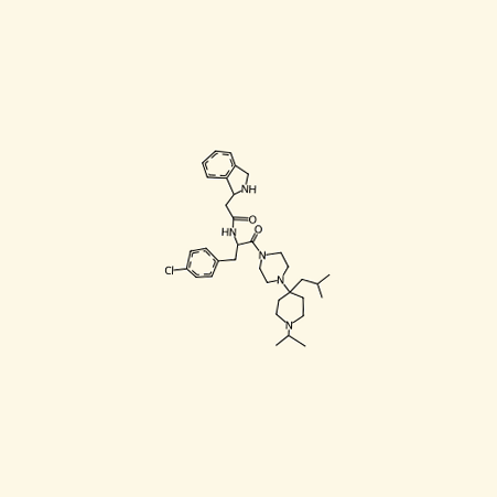 CC(C)CC1(N2CCN(C(=O)C(Cc3ccc(Cl)cc3)NC(=O)CC3NCc4ccccc43)CC2)CCN(C(C)C)CC1